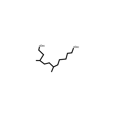 CCCCCCCCCCCCCCCC(C)[CH]CC(C)CCCCCCCCCCCC